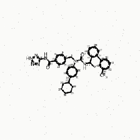 CC(NC(=O)N(Cc1ccc(C(=O)Nc2nn[nH]n2)cc1)c1ccc(C2CCCCC2)cc1)c1ccccc1-c1cccc(C(F)(F)F)c1